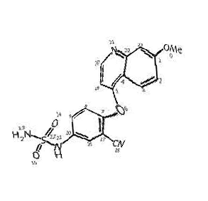 COc1ccc2c(Oc3ccc(NS(N)(=O)=O)cc3C#N)ccnc2c1